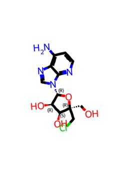 Nc1ccnc2c1ncn2[C@@H]1O[C@@](CO)(CCl)[C@@H](O)[C@H]1O